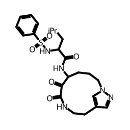 CC(C)CC(NS(=O)(=O)c1ccccc1)C(=O)NC1CCCn2cc(cn2)CCNC(=O)C1=O